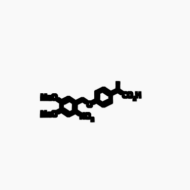 COc1cc(COc2ccc(C(C)C(=O)O)cc2)c([N+](=O)[O-])cc1OC